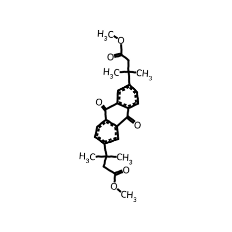 COC(=O)CC(C)(C)c1ccc2c(c1)C(=O)c1ccc(C(C)(C)CC(=O)OC)cc1C2=O